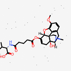 COc1ccc2c3c1O[C@H]1C(OC(=O)CCCC(=O)N[C@H](C(=O)O)C(C)C)=CC[C@@]4(O)[C@@H](C2)N(C)CC[C@]314